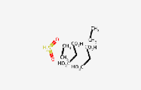 CC.CC.O=C(O)CC(=O)O.O=C(O)CC(=O)O.O=[SH2]=O